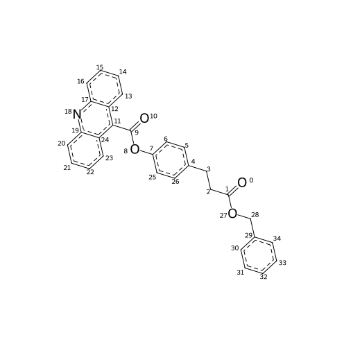 O=C(CCc1ccc(OC(=O)c2c3ccccc3nc3ccccc23)cc1)OCc1ccccc1